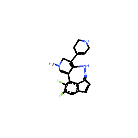 CN1C=C2C(=C(C3=CCNCC3)C1)NN=C1C=Cc3cc(F)c(F)c2c31